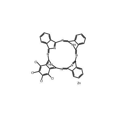 Clc1c(Cl)c(Cl)c2c3nc4nc(nc5[nH]c(nc6nc(nc([nH]3)c2c1Cl)-c1ccccc1-6)c1ccccc51)-c1ccccc1-4.[Zn]